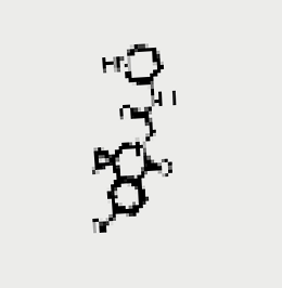 O=C(CN1CC2(CC2)c2cc(Br)ccc2C1=O)N[C@@H]1CCCNC1